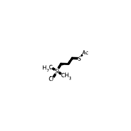 CC(=O)SCCC[Si](C)(C)Cl